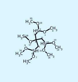 CO[SiH](CC(C[SiH](OC)OC)(C[SiH](OC)OC)O[SiH3])OC